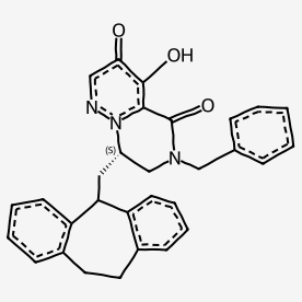 O=C1c2c(O)c(=O)cnn2[C@@H](CC2c3ccccc3CCc3ccccc32)CN1Cc1ccccc1